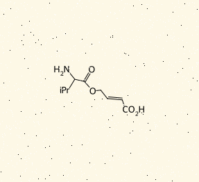 CC(C)C(N)C(=O)OCC=CC(=O)O